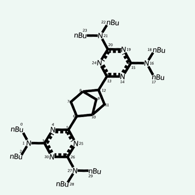 CCCCN(CCCC)c1nc(C2CC3CC2CC3c2nc(N(CCCC)CCCC)nc(N(CCCC)CCCC)n2)nc(N(CCCC)CCCC)n1